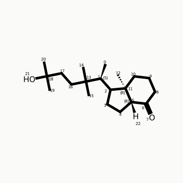 C[C@@H](C1CC[C@H]2C(=O)CCC[C@]12C)C(C)(C)CCC(C)(C)O